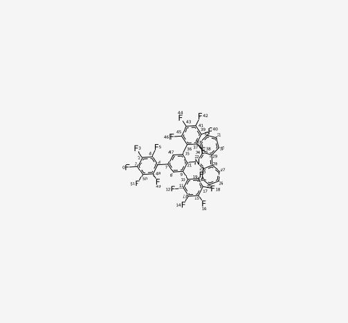 Fc1c(F)c(F)c(-c2cc(-c3c(F)c(F)c(F)c(F)c3F)c(-n3c4ccccc4c4ccccc43)c(-c3c(F)c(F)c(F)c(F)c3F)c2)c(F)c1F